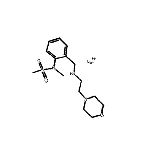 CN(c1ccccc1CNCCN1CCOCC1)S(C)(=O)=O.[H-].[Na+]